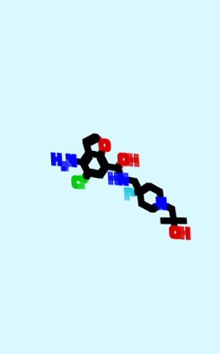 CC(C)(O)CN1CCC(F)(CNC(O)c2cc(Cl)c(N)c3ccoc23)CC1